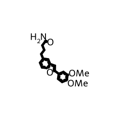 COc1ccc(-c2cc3cc(CCCC(N)=O)ccc3o2)cc1OC